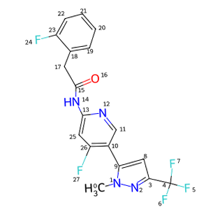 Cn1nc(C(F)(F)F)cc1-c1cnc(NC(=O)Cc2ccccc2F)cc1F